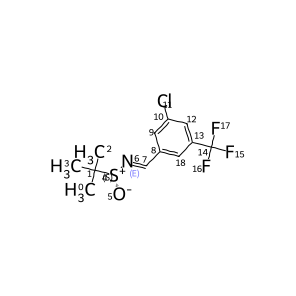 CC(C)(C)[S@@+]([O-])/N=C/c1cc(Cl)cc(C(F)(F)F)c1